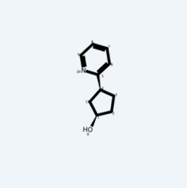 O[C@@H]1CC[C@H](c2ccccn2)C1